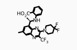 Cc1cc([C@@H](C)Nc2ccccc2C(=O)O)c2nc(N3CCC(F)(F)CC3)c(C(F)(F)F)nc2c1